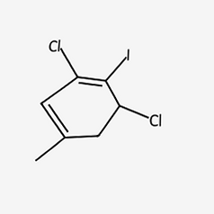 CC1=CC(Cl)=C(I)C(Cl)C1